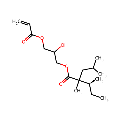 C=CC(=O)OCC(O)COC(=O)C(C)(CC(C)C)[C@@H](C)CC